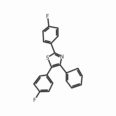 Fc1ccc(-c2nc(-c3ccccc3)c(-c3ccc(F)cc3)s2)cc1